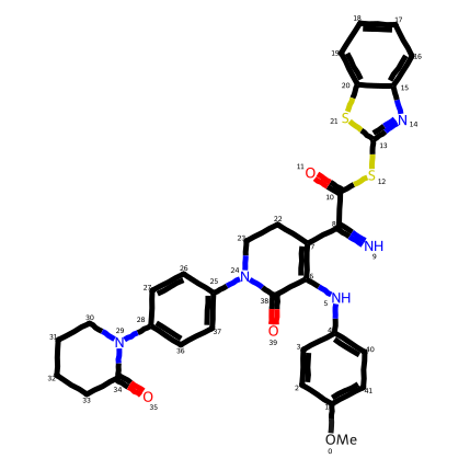 COc1ccc(NC2=C(C(=N)C(=O)Sc3nc4ccccc4s3)CCN(c3ccc(N4CCCCC4=O)cc3)C2=O)cc1